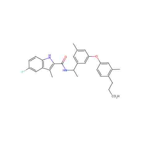 Cc1cc(Oc2ccc(CCC(=O)O)c(C)c2)cc(C(C)NC(=O)c2[nH]c3ccc(F)cc3c2C)c1